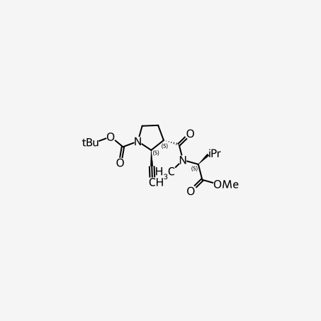 C#C[C@@H]1[C@@H](C(=O)N(C)[C@H](C(=O)OC)C(C)C)CCN1C(=O)OC(C)(C)C